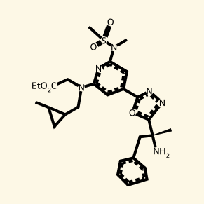 CCOC(=O)CN(CC1CC1C)c1cc(-c2nnc([C@](C)(N)Cc3ccccc3)o2)cc(N(C)S(C)(=O)=O)n1